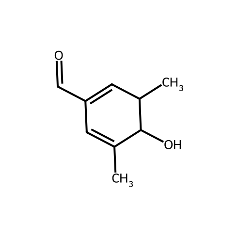 CC1=CC(C=O)=CC(C)C1O